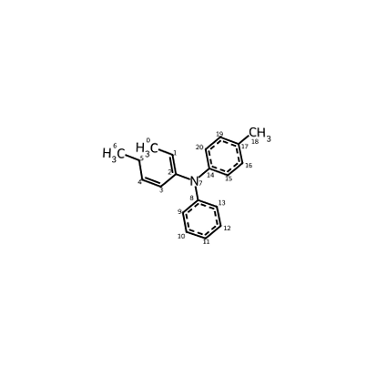 C/C=C(\C=C/CC)N(c1ccccc1)c1ccc(C)cc1